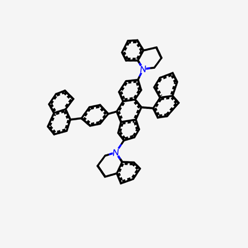 c1ccc2c(c1)CCCN2c1ccc2c(-c3cccc4ccccc34)c3cc(N4CCCc5ccccc54)ccc3c(-c3ccc(-c4cccc5ccccc45)cc3)c2c1